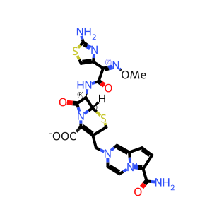 CO/N=C(\C(=O)N[C@@H]1C(=O)N2C(C(=O)[O-])=C(Cn3cc[n+]4c(C(N)=O)ccc-4c3)CS[C@@H]12)c1csc(N)n1